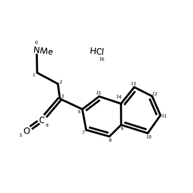 CNCCC(=C=O)c1ccc2ccccc2c1.Cl